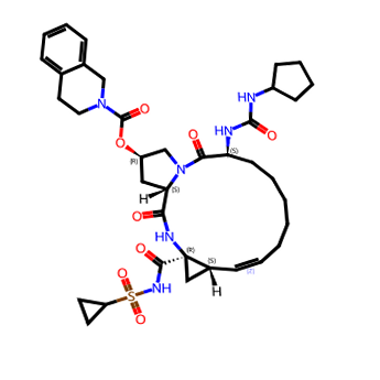 O=C(NC1CCCC1)N[C@H]1CCCCC/C=C\[C@@H]2C[C@@]2(C(=O)NS(=O)(=O)C2CC2)NC(=O)[C@@H]2C[C@@H](OC(=O)N3CCc4ccccc4C3)CN2C1=O